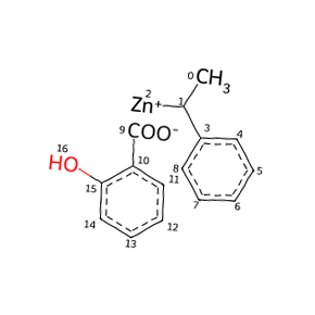 C[CH]([Zn+])c1ccccc1.O=C([O-])c1ccccc1O